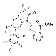 COC(=O)c1ccccc1CCN1C(=O)C(F)(F)Oc2cc(F)c(-c3c(F)c(F)c(F)c(F)c3F)cc21